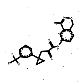 CC1=NOCc2ccc(NC(=O)C(=O)CC3(c4cccc(C(F)(F)F)c4)CC3)cc21